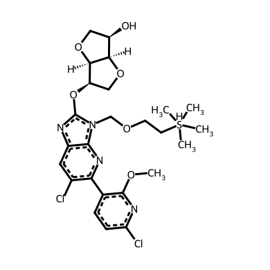 COc1nc(Cl)ccc1-c1nc2c(cc1Cl)nc(O[C@@H]1CO[C@H]3[C@@H]1OC[C@H]3O)n2COCC[SH](C)(C)(C)C